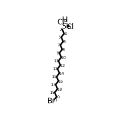 Cl[SiH](Cl)CCCCCCCCCCCCCCCCCCBr